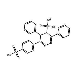 O=S(=O)(O)c1ccc(C2=NN=C(c3ccccn3)N(S(=O)(=O)O)C2c2ccccc2)cc1